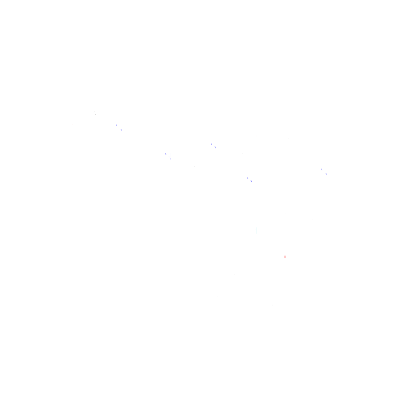 C=CC(=O)N1CCN2c3nc(=O)n(-c4c(C)ccnc4C(C)C)c4c(F)c(-c5ccccc5O)c(F)c(c34)OCC2C1